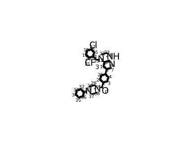 O=C(c1ccc(-c2cnc3c(c2)N(Cc2cc(Cl)ccc2C(F)(F)F)CCN3)cc1)N1CCN(c2ccccc2)CC1